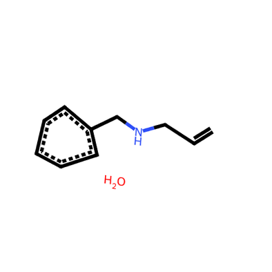 C=CCNCc1ccccc1.O